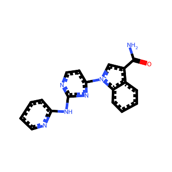 NC(=O)c1cn(-c2ccnc(Nc3ccccn3)n2)c2ccccc12